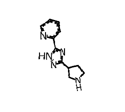 c1ccc(-c2nc(C3CCNC3)n[nH]2)nc1